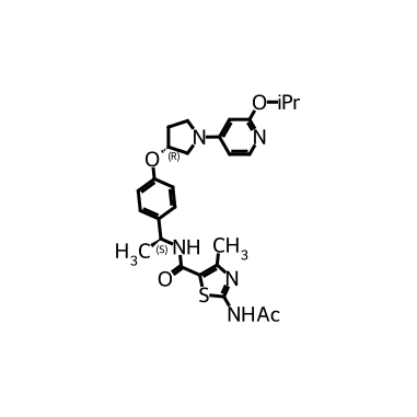 CC(=O)Nc1nc(C)c(C(=O)N[C@@H](C)c2ccc(O[C@@H]3CCN(c4ccnc(OC(C)C)c4)C3)cc2)s1